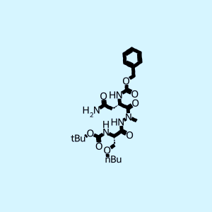 CCCCOC[C@H](NC(=O)OC(C)(C)C)C(=O)NN(C)C(=O)[C@H](CC(N)=O)NC(=O)OCc1ccccc1